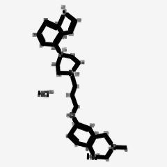 CN1CNc2ccc(OCCCN3CCN(c4cccc5sccc45)CC3)cc2C1.Cl